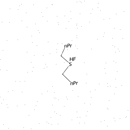 CCCCSCCCC.F